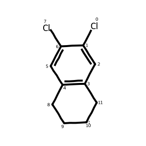 Clc1cc2c(cc1Cl)CC[C]C2